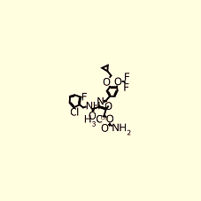 C[C@H](OC(N)=O)c1oc(-c2ccc(OC(F)F)c(OCC3CC3)c2)nc1C(=O)NCc1c(F)cccc1Cl